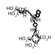 O=C(O)CC[C@H](NC(=O)N[C@@H](CCCCNC(=O)[C@@H](NC(=O)C1CCC(CNC(=O)CN2CCN(CC(=O)O)CCN(CC(=O)O)CCN(C(=O)O)CC2)CC1)c1ccc2ccccc2c1)C(=O)O)C(=O)O